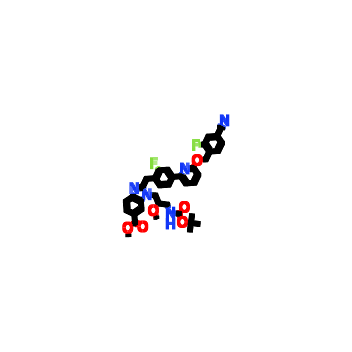 COC(=O)c1ccc2nc(Cc3ccc(-c4cccc(OCc5ccc(C#N)cc5F)n4)cc3F)n(CC(CNC(=O)OC(C)(C)C)OC)c2c1